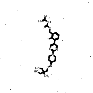 CC(CO)(CO)CON=C1CCN(c2ncc(-c3cccc(COC(=O)NC(=N)N)c3F)cn2)CC1